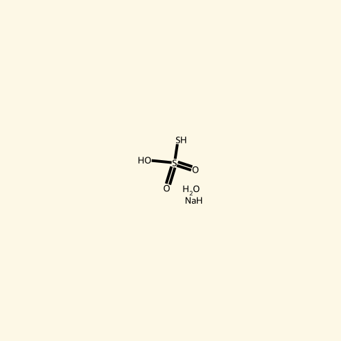 O.O=S(=O)(O)S.[NaH]